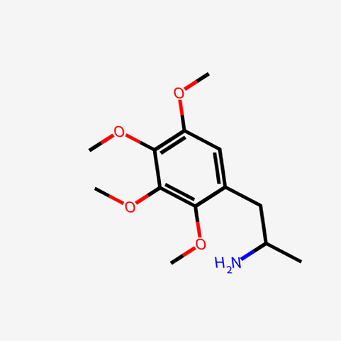 COc1cc(CC(C)N)c(OC)c(OC)c1OC